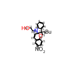 CCC(C)C1(C)c2ccccc2N(CCO)C12C=Cc1cc([N+](=O)[O-])ccc1O2